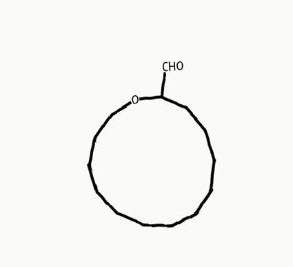 O=CC1CCCCCCCCCCCCO1